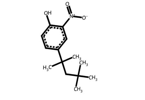 CC(C)(C)CC(C)(C)c1ccc(O)c([N+](=O)[O-])c1